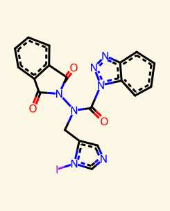 O=C1c2ccccc2C(=O)N1N(Cc1cncn1I)C(=O)n1nnc2ccccc21